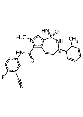 CC1C=CC=CC1[C@H]1C=Cc2c(cn(C)c2C(=O)Nc2ccc(F)c(C#N)c2)S(=N)(=O)N1